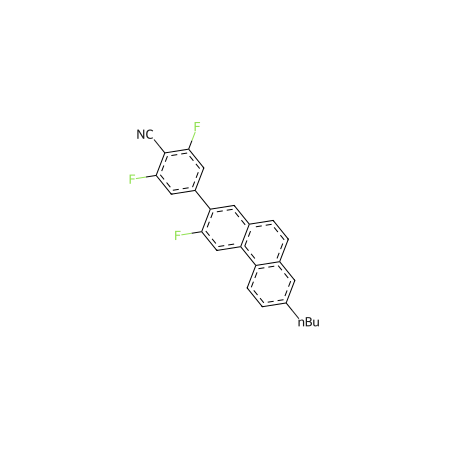 CCCCc1ccc2c(ccc3cc(-c4cc(F)c(C#N)c(F)c4)c(F)cc32)c1